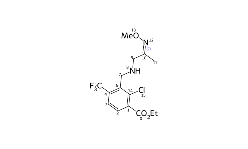 CCOC(=O)c1ccc(C(F)(F)F)c(CNC/C(C)=N\OC)c1Cl